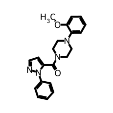 COc1ccccc1N1CCN(C(=O)c2ccnn2-c2ccccc2)CC1